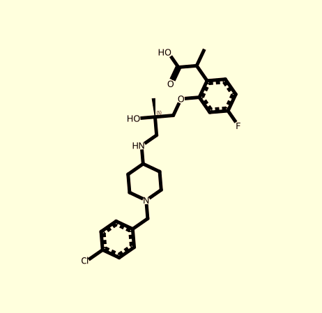 CC(C(=O)O)c1ccc(F)cc1OC[C@@](C)(O)CNC1CCN(Cc2ccc(Cl)cc2)CC1